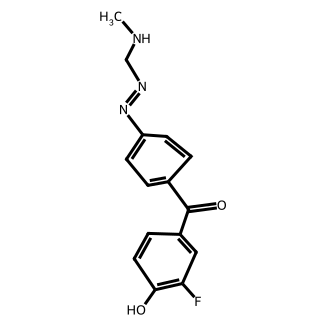 CNCN=Nc1ccc(C(=O)c2ccc(O)c(F)c2)cc1